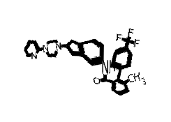 Cc1cccc(C(=O)Nc2ccc3c(c2)CC(N2CCN(c4ccccn4)CC2)C3)c1-c1ccc(C(F)(F)F)cc1